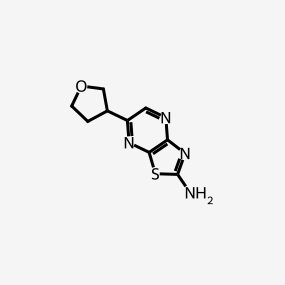 Nc1nc2ncc(C3CCOC3)nc2s1